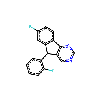 Fc1ccc2c(c1)C(c1ccccc1F)c1cncnc1-2